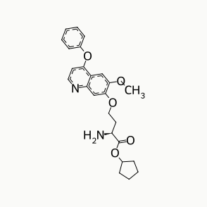 COc1cc2c(Oc3ccccc3)ccnc2cc1OCC[C@H](N)C(=O)OC1CCCC1